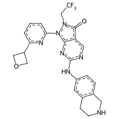 O=c1c2cnc(Nc3ccc4c(c3)CCNC4)nc2n(-c2cccc(C3COC3)n2)n1CC(F)(F)F